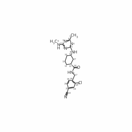 CNc1nc(C)nc(N[C@@H]2CCC[C@H](C(=O)NCc3ccc(C#N)cc3Cl)C2)n1